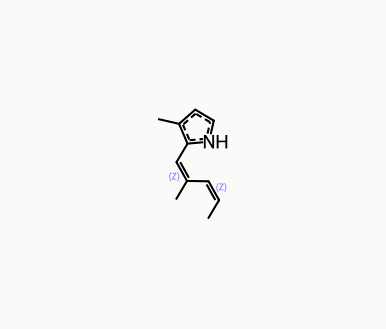 C/C=C\C(C)=C/c1[nH]ccc1C